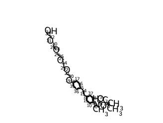 CN(C(=O)OC(C)(C)C)c1ccc(/C=C/c2ccc(OCCOCCOCCOCCOCCO)cc2)cc1